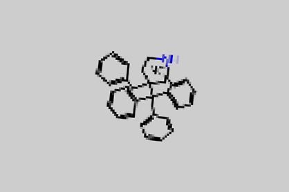 N#Cc1ccccc1C(c1ccccc1)(c1ccccc1)C1(Cc2ccccc2)CCNCC1